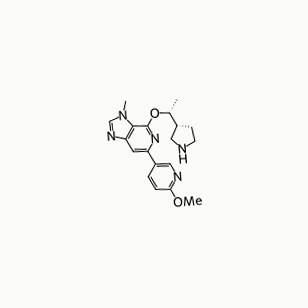 COc1ccc(-c2cc3ncn(C)c3c(O[C@H](C)[C@@H]3CCNC3)n2)cn1